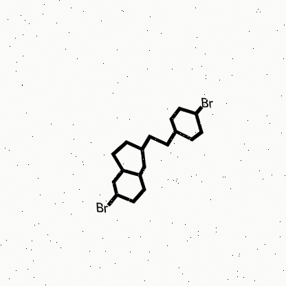 BrC1CCC(CCC2CCC3CC(Br)CCC3C2)CC1